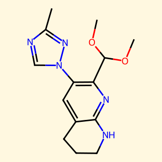 COC(OC)c1nc2c(cc1-n1cnc(C)n1)CCCN2